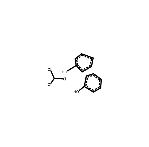 ClC(Cl)Cl.Oc1ccccc1.Oc1ccccc1